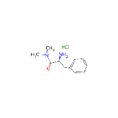 CN(C)C(=O)[C@@H](N)Cc1ccccc1.Cl